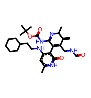 C=C1C(CNC=O)=C(c2c(NCCC3CCCCC3)cc(C)[nH]c2=O)C(NC(=O)OC(C)(C)C)=NC1C